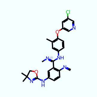 C=Nc1ccc(NC2=NC(C)(C)CO2)cc1/C(=N\C)Nc1ccc(Oc2cncc(Cl)c2)c(C)c1